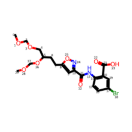 COCOCC(CCc1cc(C(=O)Nc2ccc(Br)cc2C(=O)O)no1)OCOC